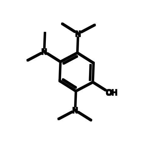 CN(C)c1cc(N(C)C)c(N(C)C)cc1O